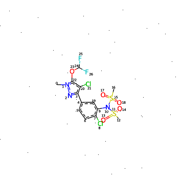 Cn1nc(-c2ccc(Cl)c(N(S(C)(=O)=O)S(C)(=O)=O)c2)c(Cl)c1OC(F)F